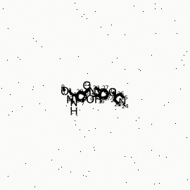 COCc1n[nH]c2cc(O)c(C(=O)N3Cc4ccc(OC5CCN(C)CC5)cc4C3)cc12